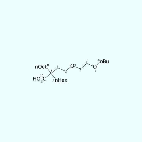 CCCCCCCCC(CCCCCC)(CCOCCOCCCC)C(=O)O